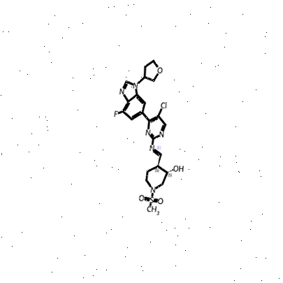 CS(=O)(=O)N1CC[C@@H](/C=N/c2ncc(Cl)c(-c3cc(F)c4ncn(C5CCOC5)c4c3)n2)[C@H](O)C1